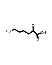 CCCCCC([O])C(=O)O